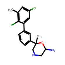 Cc1cc(Cl)cc(-c2cccc(C3(C)CNCC(N)O3)c2)c1F